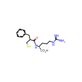 N=C(N)NCCC[C@H](NC(=O)C(CS)Cc1ccccc1)C(=O)O